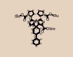 COC(=O)c1nc([C@@H]2CCCN2C(=O)OC(C)(C)C)[nH]c1C1(c2cnc([C@@H]3CCCN3C(=O)OC(C)(C)C)[nH]2)C=CC(c2ccccc2)=CC1